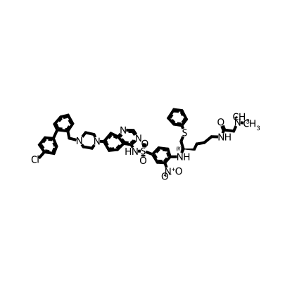 CN(C)CC(=O)NCCCC[C@H](CSc1ccccc1)Nc1ccc(S(=O)(=O)Nc2ncnc3cc(N4CCN(Cc5ccccc5-c5ccc(Cl)cc5)CC4)ccc23)cc1[N+](=O)[O-]